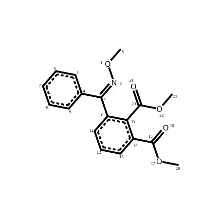 CO/N=C(\c1ccccc1)c1cccc(C(=O)OC)c1C(=O)OC